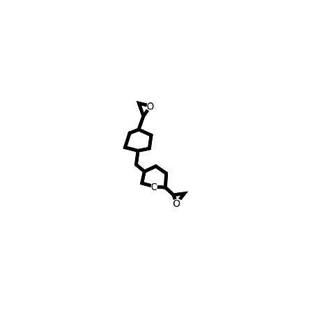 C1CC(C2CO2)CCC1CC1CCC(C2CO2)CC1